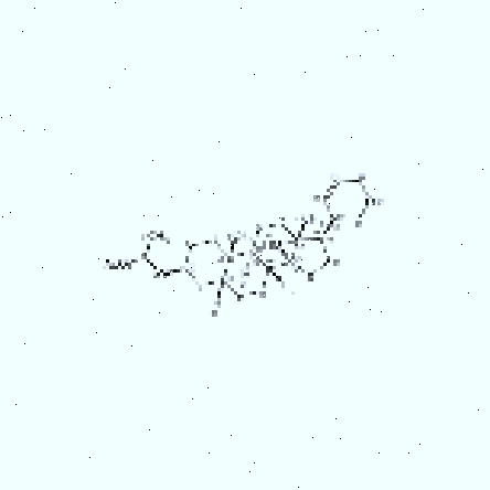 CC(=O)OC(C)O[C@H]1CC[C@@]2(C)[C@H](CC[C@@H]3[C@@H]2CC[C@]2(C)[C@@H](C4=COCC=C4)CC[C@]32O)C1